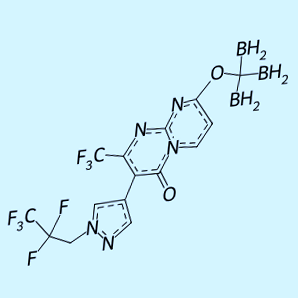 BC(B)(B)Oc1ccn2c(=O)c(-c3cnn(CC(F)(F)C(F)(F)F)c3)c(C(F)(F)F)nc2n1